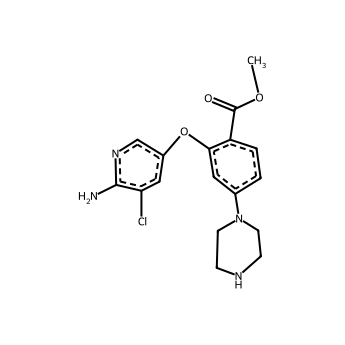 COC(=O)c1ccc(N2CCNCC2)cc1Oc1cnc(N)c(Cl)c1